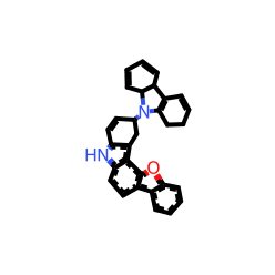 C1=CC2C3=C(CCC=C3)N(C3C=Cc4[nH]c5ccc6c7ccccc7oc6c5c4C3)C2C=C1